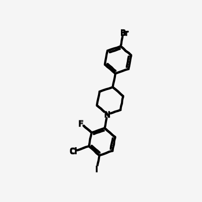 Fc1c(N2CCC(c3ccc(Br)cc3)CC2)ccc(I)c1Cl